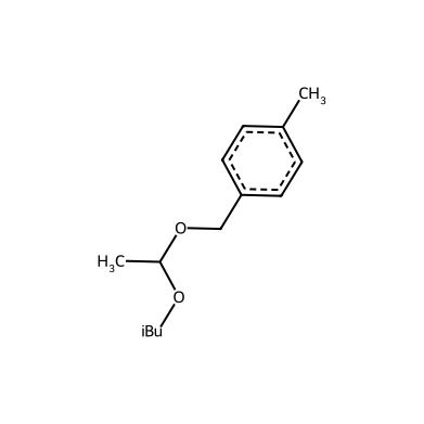 CCC(C)OC(C)OCc1ccc(C)cc1